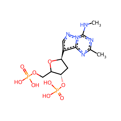 CNc1nc(C)nc2c([C@H]3C[C@H](OP(=O)(O)O)C(COP(=O)(O)O)O3)cnn12